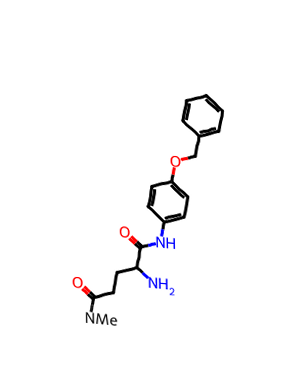 CNC(=O)CCC(N)C(=O)Nc1ccc(OCc2ccccc2)cc1